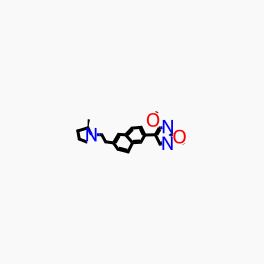 COc1ncc(-c2ccc3cc(CCN4CCC[C@H]4C)ccc3c2)c(OC)n1